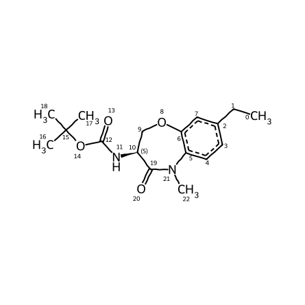 CCc1ccc2c(c1)OC[C@H](NC(=O)OC(C)(C)C)C(=O)N2C